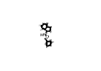 c1ccc(CONC2CCc3ccccc32)cc1